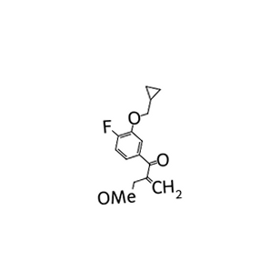 C=C(COC)C(=O)c1ccc(F)c(OCC2CC2)c1